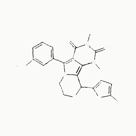 COc1cccc(-c2c3c(=O)n(C)c(=O)n(C)c3c3n2CCSC3c2ccc(Cl)o2)c1